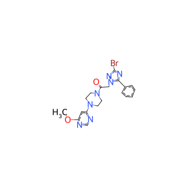 COc1cc(N2CCN(C(=O)Cn3nc(Br)nc3-c3ccccc3)CC2)ncn1